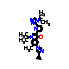 Cc1cc2c(cc1-n1cnc(C3CC3)c1)c(=O)c(-c1cccc(-c3nncn3C(C)C)n1)cn2C(C)C